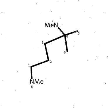 CNCCCC(C)(C)NC